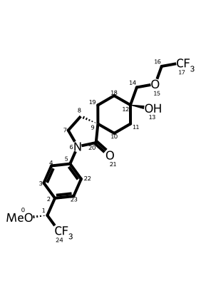 CO[C@H](c1ccc(N2CC[C@]3(CC[C@@](O)(COCC(F)(F)F)CC3)C2=O)cc1)C(F)(F)F